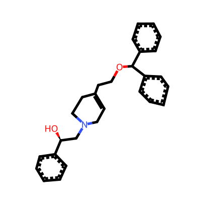 O[C@@H](CN1CC=C(CCOC(c2ccccc2)c2ccccc2)CC1)c1ccccc1